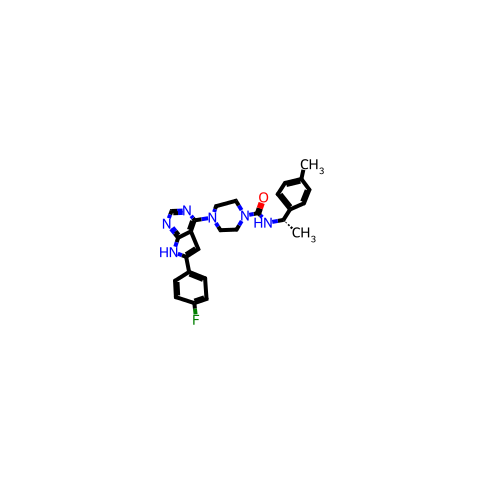 Cc1ccc([C@H](C)NC(=O)N2CCN(c3ncnc4[nH]c(-c5ccc(F)cc5)cc34)CC2)cc1